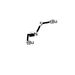 CC(C)(C)/C=N/SC(C)(C)C